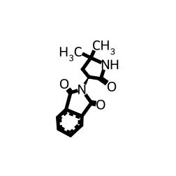 CC1(C)C[C@H](N2C(=O)c3ccccc3C2=O)C(=O)N1